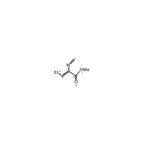 C=N/C(=C\CC)C(=O)OC